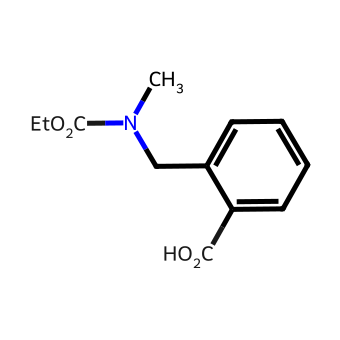 CCOC(=O)N(C)Cc1ccccc1C(=O)O